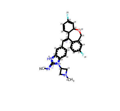 CN1CC(n2/c(=N/C#N)[nH]c3cc(/C=C4\c5ccc(F)cc5COC5C=C(F)C=CC45)ccc32)C1